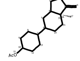 C=C1CCC2CC(C3CCC(OC(C)=O)CC3)CC[C@]12C